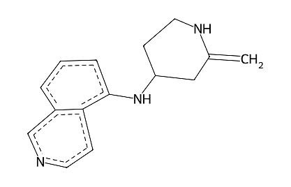 C=C1CC(Nc2cccc3cnccc23)CCN1